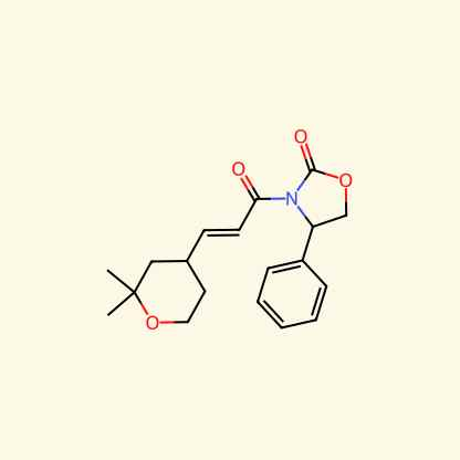 CC1(C)CC(C=CC(=O)N2C(=O)OCC2c2ccccc2)CCO1